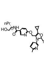 CCC[C@@H](CO)NC(=O)c1ccc(OCC2=C(C3CC3)OC(I)N2c2ccc(C)nc2)nc1